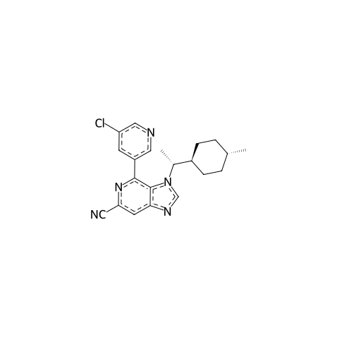 C[C@H]([C@H]1CC[C@H](C)CC1)n1cnc2cc(C#N)nc(-c3cncc(Cl)c3)c21